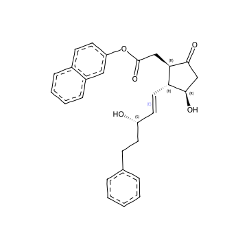 O=C(C[C@H]1C(=O)C[C@@H](O)[C@@H]1/C=C/[C@@H](O)CCc1ccccc1)Oc1ccc2ccccc2c1